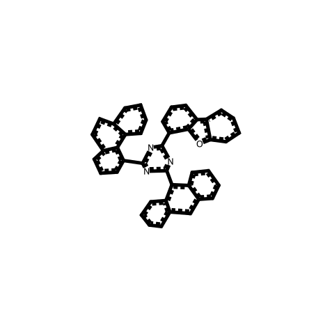 c1ccc2c(-c3nc(-c4cccc5c4oc4ccccc45)nc(-c4cccc5ccc6ccccc6c45)n3)c3ccccc3cc2c1